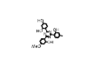 COc1ccc(-c2nc(-c3ccc(C)cc3O)nc(-c3ccc(O)cc3O)n2)c(O)c1